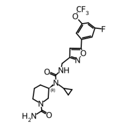 NC(=O)N1CCC[C@@H](N(C(=O)NCc2cc(-c3cc(F)cc(OC(F)(F)F)c3)on2)C2CC2)C1